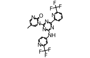 Cc1cnc(=O)n(-c2nc(Nc3ccnc(C(F)(F)F)c3)nc(-c3cccc(C(F)(F)F)n3)n2)c1